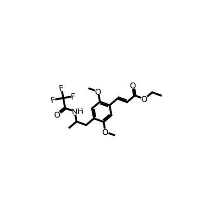 CCOC(=O)C=Cc1cc(OC)c(CC(C)NC(=O)C(F)(F)F)cc1OC